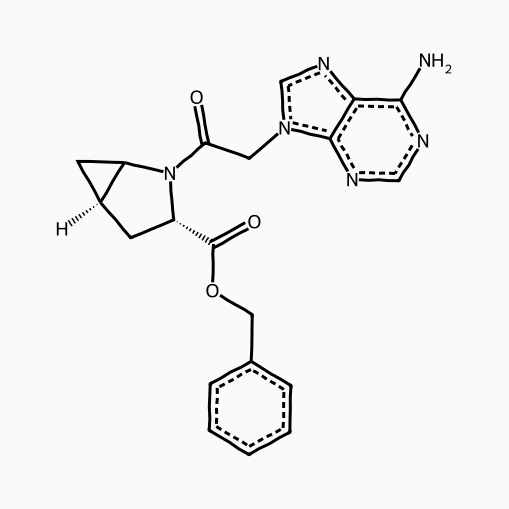 Nc1ncnc2c1ncn2CC(=O)N1C2C[C@@H]2C[C@H]1C(=O)OCc1ccccc1